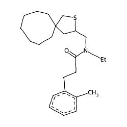 CCN(CC1CC2(CCCCCCC2)CS1)C(=O)CCc1ccccc1C